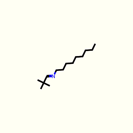 CCCCCCCCCN=CC(C)(C)C